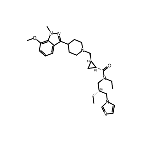 CC[C@H](CN(CC)C(=O)[C@@H]1C[C@H]1CN1CCC(c2nn(C)c3c(OC)cccc23)CC1)Cn1ccnc1